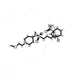 COCCN1CCC(N(C)S(=O)(=O)CCCN2[C@@H]3C[CH]C[C@@]2(C(N)=O)CC3)CC1